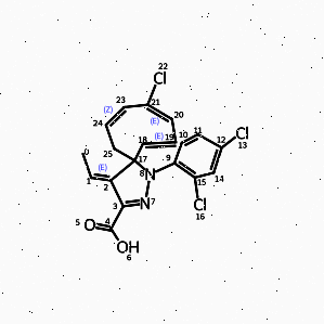 C/C=C1/C(C(=O)O)=NN(c2ccc(Cl)cc2Cl)C12/C=C/C=C(Cl)\C=C/C2